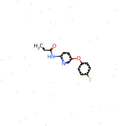 C=CC(=O)Nc1ccc(Oc2ccc(F)cc2)cn1